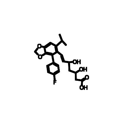 CC(C)c1cc2c(c(-c3ccc(F)cc3)c1C=CC(O)CC(O)CC(=O)O)OCO2